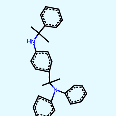 CC(C)(Nc1ccc(C(C)(C)N(c2ccccc2)c2ccccc2)cc1)c1ccccc1